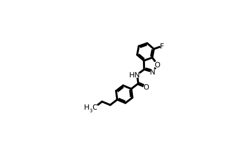 CCCc1ccc(C(=O)Nc2noc3c(F)cccc23)cc1